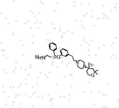 CCC1(N2CCN(CCc3cccc(O[C@H](CCNC)c4ccccc4)c3)CC2)CCOC(C)(C)C1